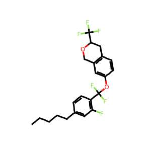 CCCCCc1ccc(C(F)(F)Oc2ccc3c(c2)COC(C(F)(F)F)C3)c(F)c1